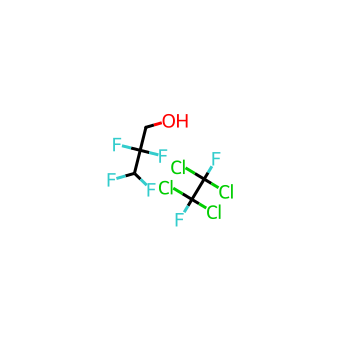 FC(Cl)(Cl)C(F)(Cl)Cl.OCC(F)(F)C(F)F